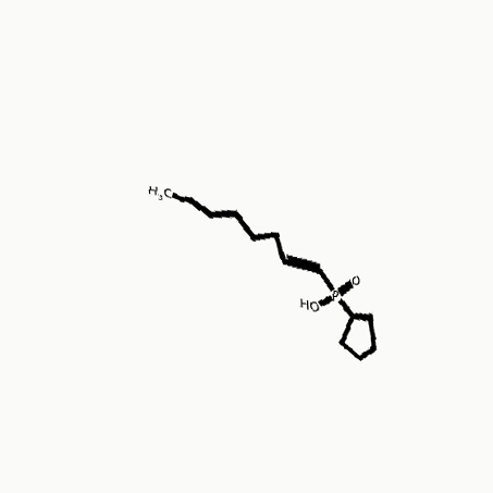 CCCCCCC=CP(=O)(O)C1CCCC1